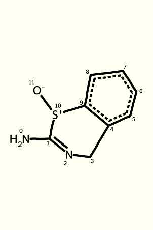 NC1=NCc2ccccc2[S+]1[O-]